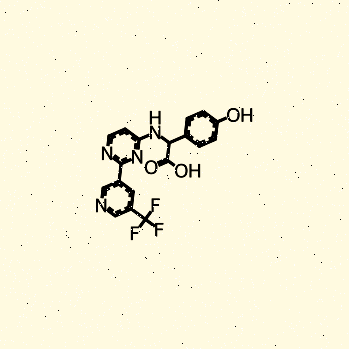 O=C(O)C(Nc1ccnc(-c2cncc(C(F)(F)F)c2)n1)c1ccc(O)cc1